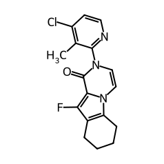 Cc1c(Cl)ccnc1-n1ccn2c3c(c(F)c2c1=O)CCCC3